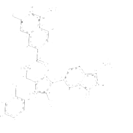 Cc1cc2cc(C(=O)N[C@@H](Cc3ccccc3)c3nc(-c4ccc5c(N)n[nH]c5c4)c(Cl)[nH]3)ccc2c(N)n1